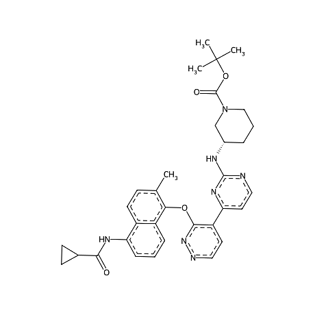 Cc1ccc2c(NC(=O)C3CC3)cccc2c1Oc1nnccc1-c1ccnc(N[C@H]2CCCN(C(=O)OC(C)(C)C)C2)n1